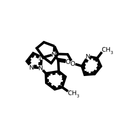 Cc1ccc(-n2nccn2)c(C(=O)N2C3CCC2C(COc2cccc(C)n2)C3)c1